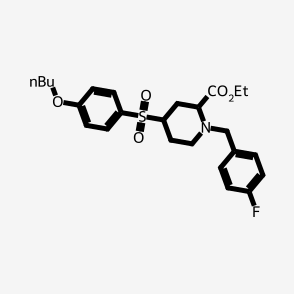 CCCCOc1ccc(S(=O)(=O)C2CCN(Cc3ccc(F)cc3)C(C(=O)OCC)C2)cc1